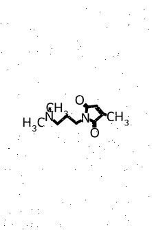 CC1=CC(=O)N(CCCN(C)C)C1=O